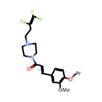 COc1cc(/C=C/C(=O)N2CCN(CCC(F)=C(F)F)CC2)ccc1OC(C)C